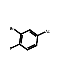 CC(=O)c1ccc(I)c(Br)c1